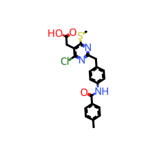 CSc1nc(Cc2ccc(NC(=O)c3ccc(C)cc3)cc2)nc(Cl)c1CC(=O)O